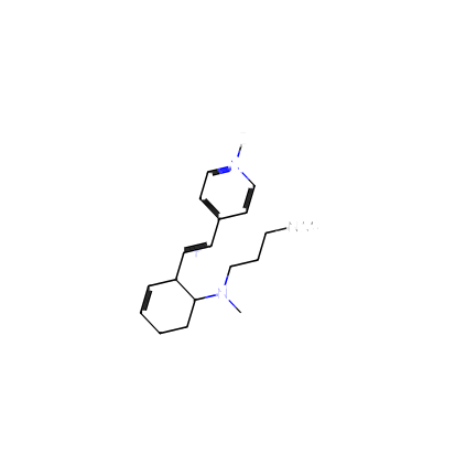 CC[n+]1ccc(/C=C/C2C=CCCC2N(C)CCCNC)cc1